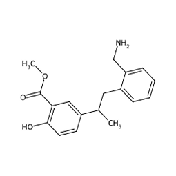 COC(=O)c1cc(C(C)Cc2ccccc2CN)ccc1O